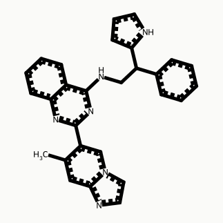 Cc1cc2nccn2cc1-c1nc(NCC(c2ccccc2)c2ccc[nH]2)c2ccccc2n1